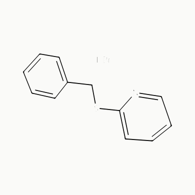 Br.c1ccc(CSc2ccccn2)cc1